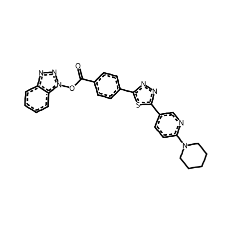 O=C(On1nnc2ccccc21)c1ccc(-c2nnc(-c3ccc(N4CCCCC4)nc3)s2)cc1